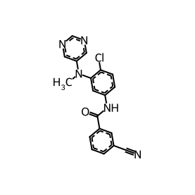 CN(c1cncnc1)c1cc(NC(=O)c2cccc(C#N)c2)ccc1Cl